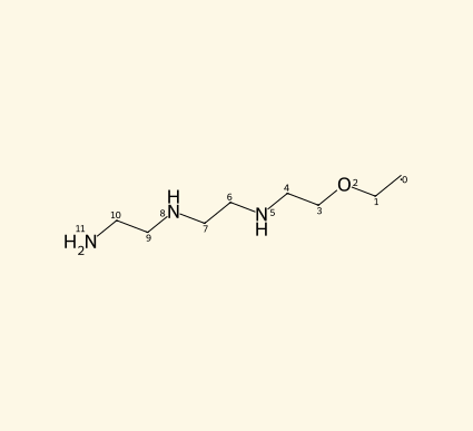 [CH2]COCCNCCNCCN